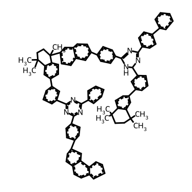 CC1(C)CCC(C)(C)c2cc(-c3cccc(C4N=C(c5ccc(-c6ccccc6)cc5)N=C(c5ccc(-c6ccc7cc(C8(C)CCC(C)(C)c9cc(-c%10cccc(-c%11nc(-c%12ccccc%12)nc(-c%12ccc(-c%13ccc%14ccc%15ccccc%15c%14c%13)cc%12)n%11)c%10)ccc98)ccc7c6)cc5)N4)c3)ccc21